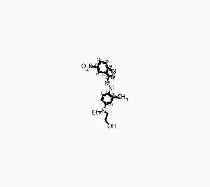 CCN(CCO)c1ccc(N=Nc2snc3ccc([N+](=O)[O-])cc23)c(C)c1